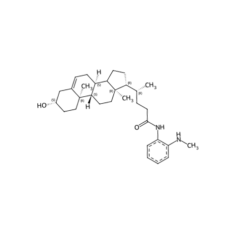 CNc1ccccc1NC(=O)CC[C@@H](C)[C@H]1CCC2[C@@H]3CC=C4C[C@@H](O)CC[C@]4(C)[C@H]3CC[C@@]21C